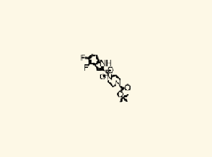 CC(C)(C)OC(=O)N1CCN(S(=O)(=O)c2cc3c(F)c(F)ccc3[nH]2)CC1